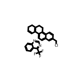 ClCc1ccc2c3c(ccc2c1)C1=C(CCC=C1)CC3.FC(F)(F)c1ncnc2ccccc12